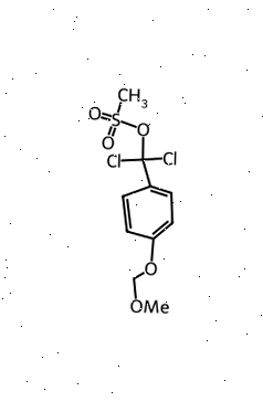 COCOc1ccc(C(Cl)(Cl)OS(C)(=O)=O)cc1